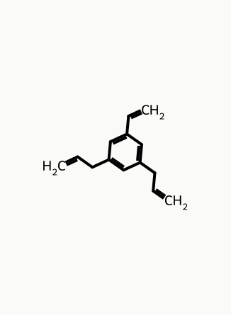 C=CCc1cc(C=C)cc(CC=C)c1